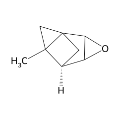 CC12CC13C[C@H]2C1OC13